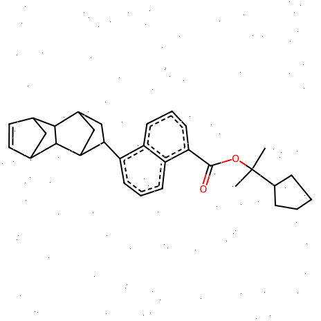 CC(C)(OC(=O)c1cccc2c(C3CC4CC3C3C5C=CC(C5)C43)cccc12)C1CCCC1